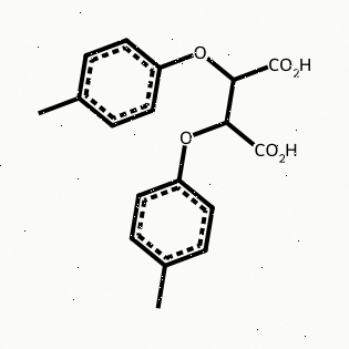 Cc1ccc(OC(C(=O)O)C(Oc2ccc(C)cc2)C(=O)O)cc1